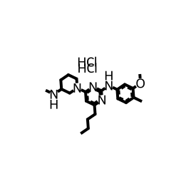 CCCCc1cc(N2CCCC(NC)C2)nc(Nc2ccc(C)c(OC)c2)n1.Cl.Cl